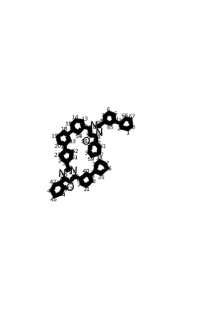 c1ccc(-c2cccc(-c3nc(-c4cccc(-c5cccc(-c6ccc(-c7nc(-c8cccc(-c9ccccc9)c8)c8oc9ccccc9c8n7)cc6)c5)c4)c4oc5ccccc5c4n3)c2)cc1